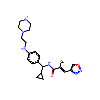 N#C/C(=C\c1conn1)C(=O)NC(c1ccc(NCCN2CCNCC2)cc1)C1CC1